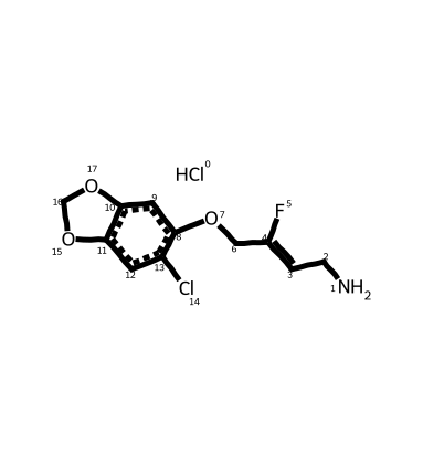 Cl.NCC=C(F)COc1cc2c(cc1Cl)OCO2